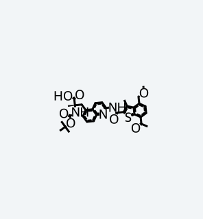 COCc1ccc(C(C)=O)c2sc(C(=O)Nc3ccc4c(C[C@](C)(NC(=O)OC(C)(C)C)C(=O)O)cccc4n3)c(C)c12